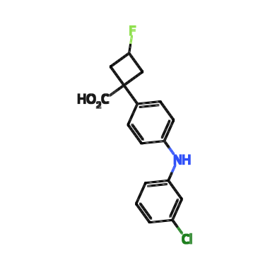 O=C(O)C1(c2ccc(Nc3cccc(Cl)c3)cc2)CC(F)C1